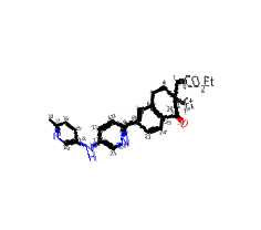 CCOC(=O)CC1(CC)CCc2cc(-c3ccc(Nc4ccc(C)nc4)cn3)ccc2C1=O